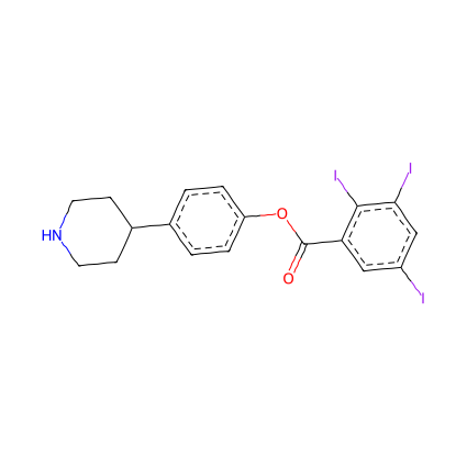 O=C(Oc1ccc(C2CCNCC2)cc1)c1cc(I)cc(I)c1I